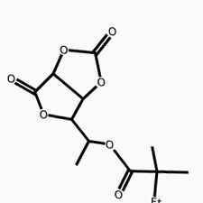 CCC(C)(C)C(=O)OC(C)C1OC(=O)C2OC(=O)OC21